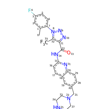 Cc1cc(F)ccc1-n1nnc(C(=O)Nc2ccc3cc(CN4CCNCC4)ccc3n2)c1C(F)(F)F